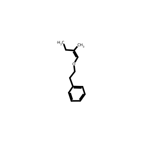 [CH2]CC(C)=COCCc1ccccc1